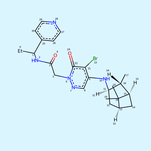 CCC(NC(=O)Cn1ncc(N[C@@H]2C[C@@H]3C[C@H]([C@H]2C)C3(C)C)c(Br)c1=O)c1ccncc1